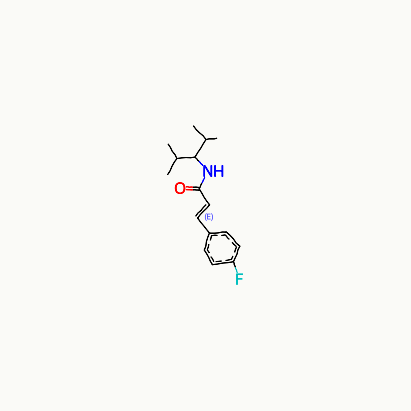 CC(C)C(NC(=O)/C=C/c1ccc(F)cc1)C(C)C